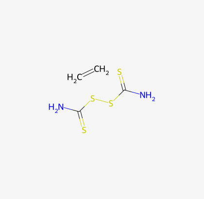 C=C.NC(=S)SSC(N)=S